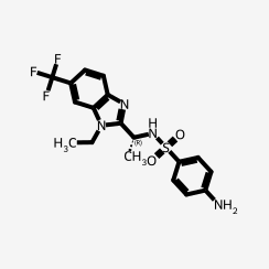 CCn1c([C@@H](C)NS(=O)(=O)c2ccc(N)cc2)nc2ccc(C(F)(F)F)cc21